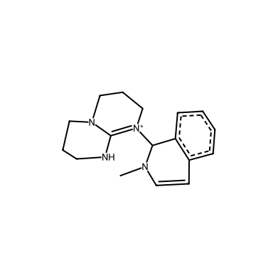 CN1C=Cc2ccccc2C1[N+]1=C2NCCCN2CCC1